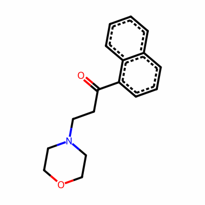 O=C(CCN1CCOCC1)c1cccc2ccccc12